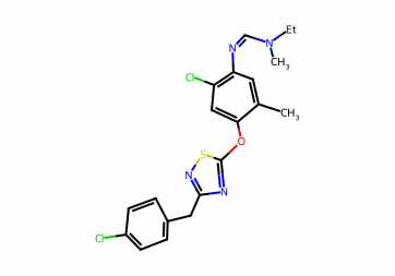 CCN(C)/C=N\c1cc(C)c(Oc2nc(Cc3ccc(Cl)cc3)ns2)cc1Cl